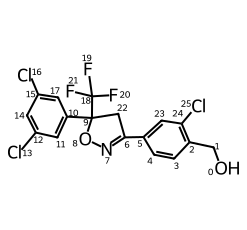 OCc1ccc(C2=NOC(c3cc(Cl)cc(Cl)c3)(C(F)(F)F)C2)cc1Cl